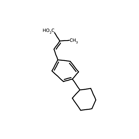 CC(=Cc1ccc(C2CCCCC2)cc1)C(=O)O